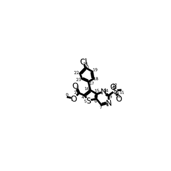 COC(=O)c1sc2cnc(S(C)(=O)=O)nc2c1-c1ccc(Cl)cc1